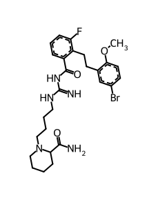 COc1ccc(Br)cc1CCc1c(F)cccc1C(=O)NC(=N)NCCCCN1CCCCC1C(N)=O